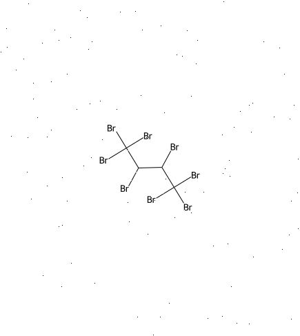 BrC(C(Br)C(Br)(Br)Br)C(Br)(Br)Br